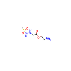 CS(=O)(=O)NNCC(=O)OCCN